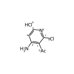 CC(=O)c1c(N)ccnc1Cl.Cl